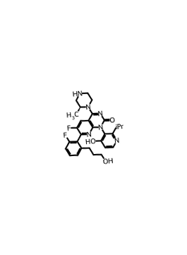 CC(C)c1nccc(O)c1-n1c(=O)nc(N2CCNC[C@@H]2C)c2cc(F)c(-c3c(F)cccc3CCCO)nc21